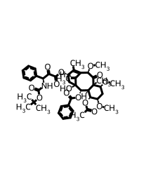 CO[C@H]1C(=O)[C@@]2(C)[C@@H]([C@@H](OC(C)=O)[C@H](OC)C[C@@H]2OC)[C@H](OC(=O)c2ccccc2)[C@]2(O)C[C@H](OC(=O)C(=O)[C@@H](NC(=O)OC(C)(C)C)c3ccccc3)C(C)=C1C2(C)C